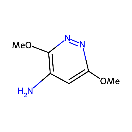 COc1cc(N)c(OC)nn1